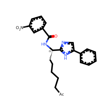 CC(=O)CCCCC[C@H](NC(=O)c1cccc([N+](=O)[O-])c1)c1ncc(-c2ccccc2)[nH]1